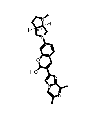 Cc1cn2cc(C3=Cc4ccc(N5C[C@H]6CCN(C)[C@H]6C5)cc4OC3O)nc2c(C)n1